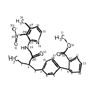 CCC(Cc1ccc(-c2ccccc2C(=O)OC)cc1)C(=O)Nc1nccc(C)c1[N+](=O)[O-]